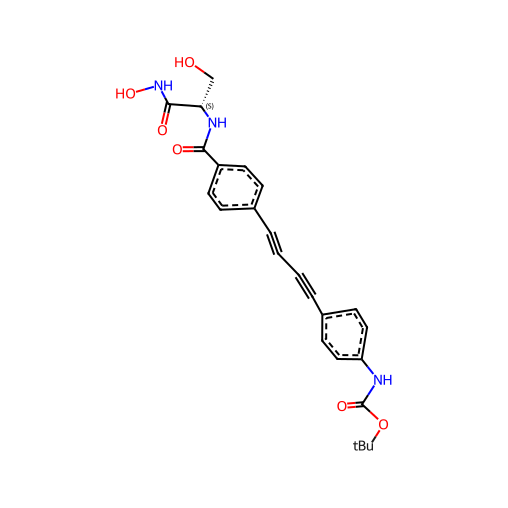 CC(C)(C)OC(=O)Nc1ccc(C#CC#Cc2ccc(C(=O)N[C@@H](CO)C(=O)NO)cc2)cc1